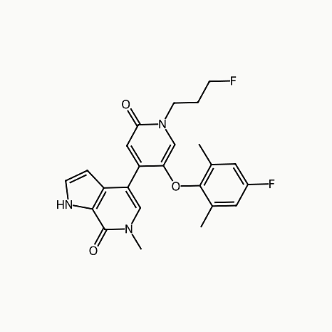 Cc1cc(F)cc(C)c1Oc1cn(CCCF)c(=O)cc1-c1cn(C)c(=O)c2[nH]ccc12